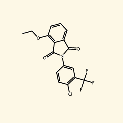 CCOc1cccc2c1C(=O)N(c1ccc(Cl)c(C(F)(F)F)c1)C2=O